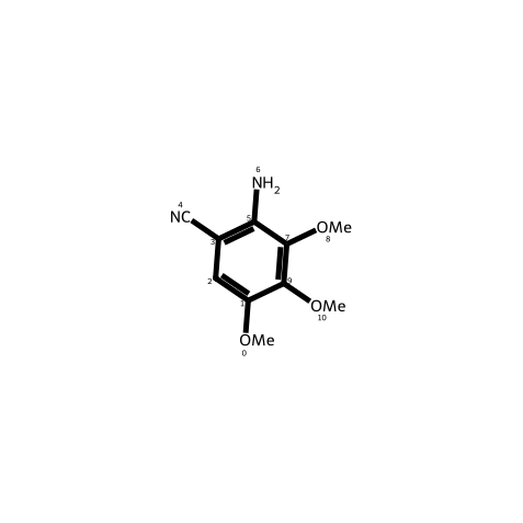 COc1cc(C#N)c(N)c(OC)c1OC